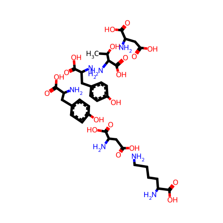 CC(O)C(N)C(=O)O.NC(CC(=O)O)C(=O)O.NC(CC(=O)O)C(=O)O.NC(Cc1ccc(O)cc1)C(=O)O.NC(Cc1ccc(O)cc1)C(=O)O.NCCCCC(N)C(=O)O